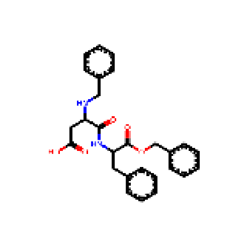 O=C(O)CC(NCc1ccccc1)C(=O)NC(Cc1ccccc1)C(=O)OCc1ccccc1